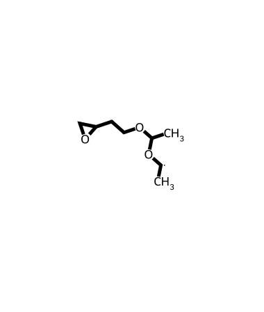 C[CH]OC(C)OCCC1CO1